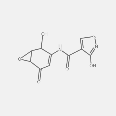 O=C(NC1=CC(=O)C2OC2C1O)c1csnc1O